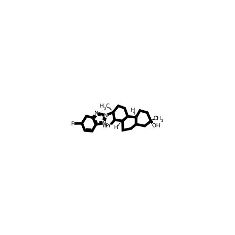 CCCC1[C@@H]2CCC3C[C@](C)(O)CC[C@@H]3C2CC[C@]1(C)n1nc2c(n1)CC(F)C=C2